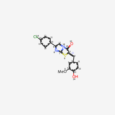 COc1cc(/C=c2\sc3nc(-c4ccc(Cl)cc4)cn3c2=O)ccc1O